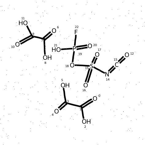 O=C(O)C(=O)O.O=C(O)C(=O)O.O=C=NS(=O)(=O)OP(=O)(O)F